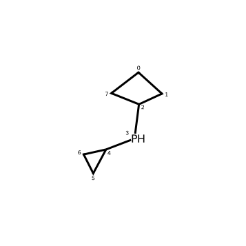 C1CC(PC2CC2)C1